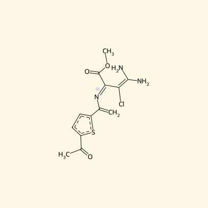 C=C(/N=C(/C(=O)OC)C(Cl)=C(N)N)c1ccc(C(C)=O)s1